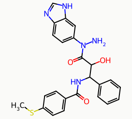 CSc1ccc(C(=O)NC(c2ccccc2)C(O)C(=O)N(N)c2ccc3nc[nH]c3c2)cc1